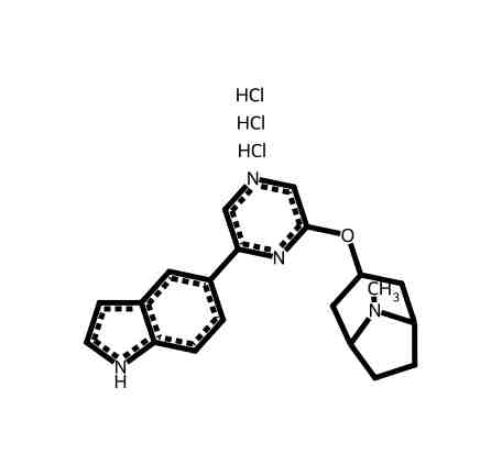 CN1C2CCC1CC(Oc1cncc(-c3ccc4[nH]ccc4c3)n1)C2.Cl.Cl.Cl